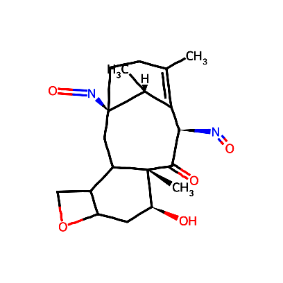 CC1=C2[C@@H](N=O)C(=O)[C@@]3(C)C(C[C@](N=O)(CC1)[C@@H]2C)C1COC1C[C@@H]3O